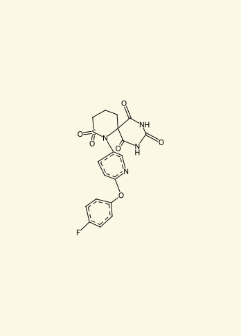 O=C1NC(=O)C2(CCCS(=O)(=O)N2c2ccc(Oc3ccc(F)cc3)nc2)C(=O)N1